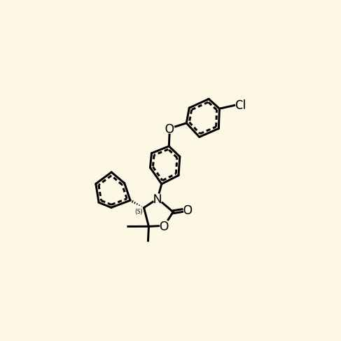 CC1(C)OC(=O)N(c2ccc(Oc3ccc(Cl)cc3)cc2)[C@H]1c1ccccc1